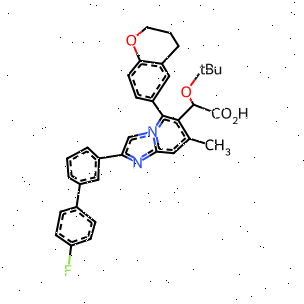 Cc1cc2nc(-c3cccc(-c4ccc(F)cc4)c3)cn2c(-c2ccc3c(c2)CCCO3)c1C(OC(C)(C)C)C(=O)O